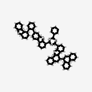 c1ccc(-c2nc(-c3cccc4c3oc3cc(-c5ccccc5-c5cccc6sc7ccccc7c56)ccc34)nc(-c3cccc4c3sc3c5ccccc5cc(-c5cc6ccccc6c6ccccc56)c43)n2)cc1